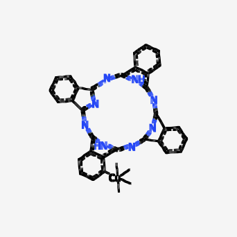 [CH3][Cu]([CH3])([CH3])([CH3])[c]1cccc2c3nc4nc(nc5[nH]c(nc6nc(nc([nH]3)c12)-c1ccccc1-6)c1ccccc51)-c1ccccc1-4